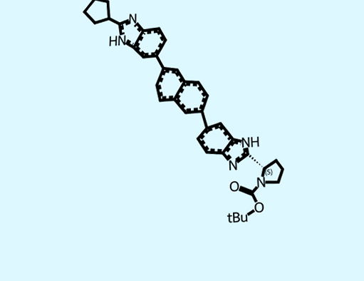 CC(C)(C)OC(=O)N1CCC[C@H]1c1nc2ccc(-c3ccc4cc(-c5ccc6nc(C7CCCC7)[nH]c6c5)ccc4c3)cc2[nH]1